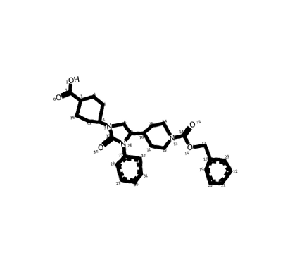 O=C(O)C1CCC(N2CC(C3CCN(C(=O)OCc4ccccc4)CC3)N(c3ccccc3)C2=O)CC1